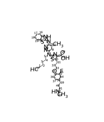 C#CCCCCN(c1cc(C)c(Nc2nc3ccccc3s2)nn1)c1nc(C(=O)O)c(CCCOc2ccc(CCCNC)cc2F)s1